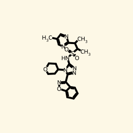 Cc1cnc(C(C)C(C)S(=O)(=O)Nc2nnc(-c3noc4ccccc34)n2C2CCOCC2)nc1